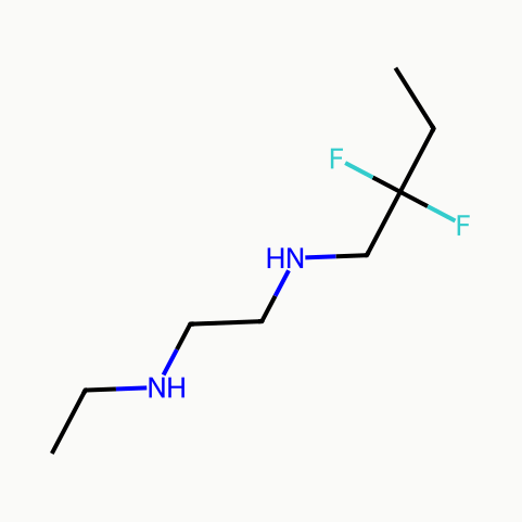 CCNCCNCC(F)(F)CC